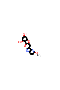 COc1ccc2[nH]cc(C=C3Oc4cc(O)cc(O)c4C3=O)c2n1